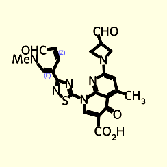 CN/C=C(\C=C/C=O)c1nsc(-n2cc(C(=O)O)c(=O)c3c(C)cc(N4CC(C=O)C4)nc32)n1